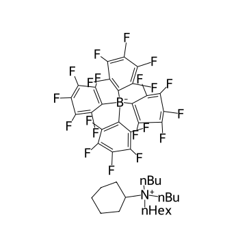 CCCCCC[N+](CCCC)(CCCC)C1CCCCC1.Fc1c(F)c(F)c([B-](c2c(F)c(F)c(F)c(F)c2F)(c2c(F)c(F)c(F)c(F)c2F)c2c(F)c(F)c(F)c(F)c2F)c(F)c1F